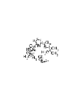 CC(C)(C)C1COC(c2cccc(C3=NC(C(C)(C)C)CO3)n2)=N1.[Cl-].[Cl-].[Fe+2]